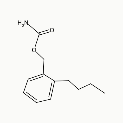 CCCCc1ccccc1COC(N)=O